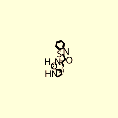 N[C@@H](C[C@@H]1CCNC1=O)C(=O)c1nc2ccccc2s1